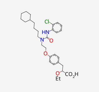 CCOC(Cc1ccc(OCCN(CCCCC2CCCCC2)C(=O)Nc2ccccc2Cl)cc1)C(=O)O